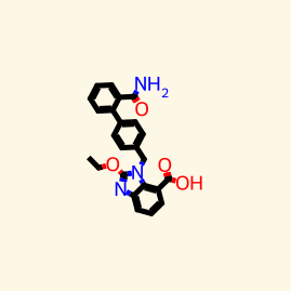 CCOc1nc2cccc(C(=O)O)c2n1Cc1ccc(-c2ccccc2C(N)=O)cc1